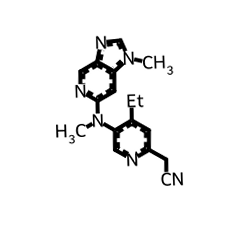 CCc1cc(CC#N)ncc1N(C)c1cc2c(cn1)ncn2C